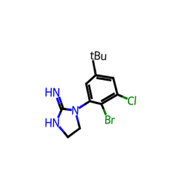 CC(C)(C)c1cc(Cl)c(Br)c(N2CCNC2=N)c1